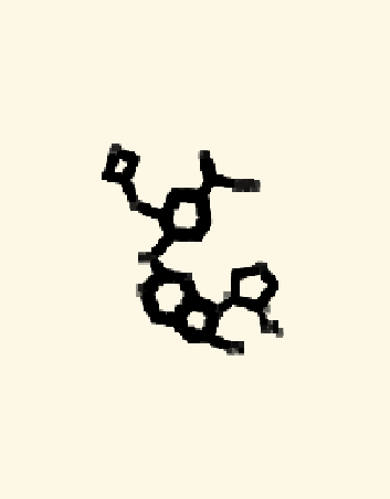 COC(=O)c1ccc(Nc2ncc3cc(C#N)n([C@H]4COC[C@@H]4C)c3n2)c(OC2COC2)c1